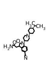 CC(C)[C@H]1CC[C@@H](N2CCC(N3C(=O)C(CC(N)=O)c4cc(C#N)ccc43)CC2)CC1